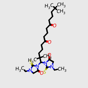 CCN1CC(=O)N(C(N2C(=O)CN(CC)C2=S)C(C)(C)CCCC(=O)CCCC(=O)CCCC(C)(C)C)C1=S